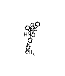 CN1CCN(c2ccc(C(=O)Nc3nn(S(=O)(=O)c4ccccc4)c4ccccc34)cc2)CC1